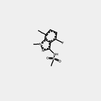 Cc1ccc(F)c2c(NS(C)(=O)=O)nn(C)c12